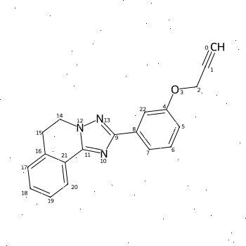 C#CCOc1cccc(-c2nc3n(n2)CCc2ccccc2-3)c1